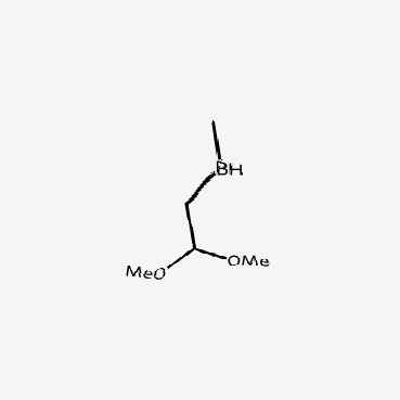 CBCC(OC)OC